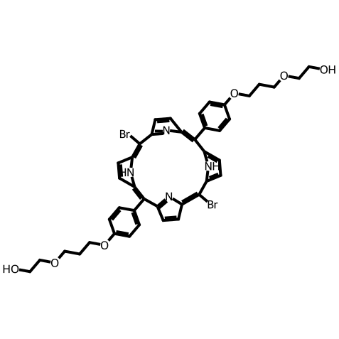 OCCOCCCOc1ccc(-c2c3nc(c(Br)c4ccc([nH]4)c(-c4ccc(OCCCOCCO)cc4)c4nc(c(Br)c5ccc2[nH]5)C=C4)C=C3)cc1